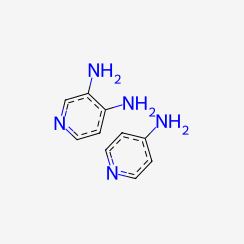 Nc1ccncc1.Nc1ccncc1N